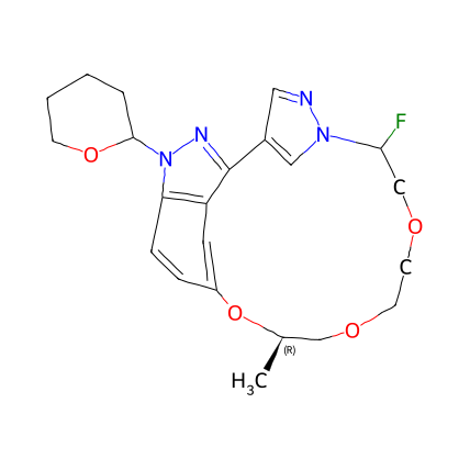 C[C@@H]1COCCOCC(F)n2cc(cn2)-c2nn(C3CCCCO3)c3ccc(cc23)O1